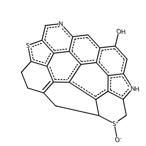 [O-][S+]1Cc2[nH]c3cc(O)c4cc5ncc6sc7c8c9c%10c(c2c3c4c%10c5c68)C1CC=9CC7